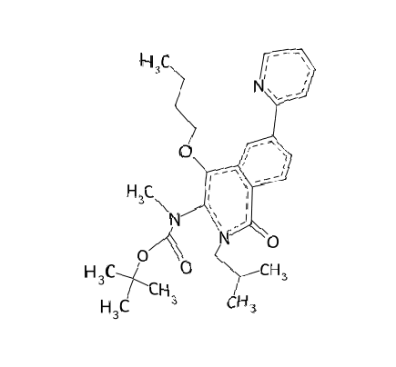 CCCCOc1c(N(C)C(=O)OC(C)(C)C)n(CC(C)C)c(=O)c2ccc(-c3ccccn3)cc12